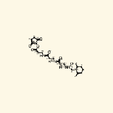 CC1CCCC(C)N1C[13C](=O)[15NH][13CH2][13CH2]C(=O)[15NH]CCC(=O)NCCC(=O)ON1C(=O)CCC1=O